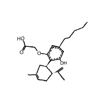 C=C(C)[C@@H]1CC=C(C)C[C@H]1c1c(O)cc(CCCCC)cc1OCC(=O)O